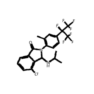 Cc1cc(C(F)(C(F)(F)F)C(F)(F)F)ccc1N1C(=O)c2cccc(Cl)c2C1NC(C)C